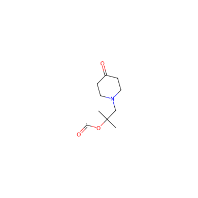 CC(C)(CN1CCC(=O)CC1)O[C]=O